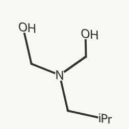 CC(C)CN(CO)CO